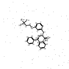 O=C(O)[C@H](Cc1cccc(OCCC(F)(F)F)c1)N=C(c1ccccc1)c1ccccc1